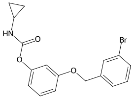 O=C(NC1CC1)Oc1cccc(OCc2cccc(Br)c2)c1